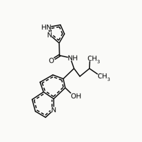 CC(C)CC(NC(=O)c1cc[nH]n1)c1ccc2cccnc2c1O